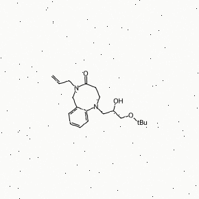 C=CCN1Cc2ccccc2N(CC(O)COC(C)(C)C)CCC1=O